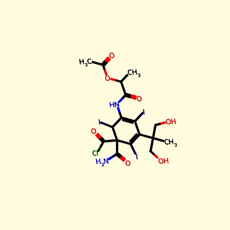 CC(=O)OC(C)C(=O)NC1=C(I)C(C(C)(CO)CO)=C(I)C(C(N)=O)(C(=O)Cl)C1I